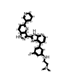 CN(C)CCNc1cc(F)cc(-c2ccnc3[nH]c(-c4n[nH]c5ccc(-c6cccnc6)nc45)nc23)c1